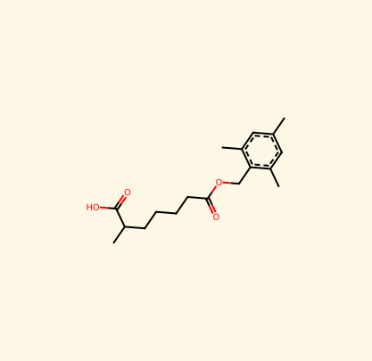 Cc1cc(C)c(COC(=O)CCCCC(C)C(=O)O)c(C)c1